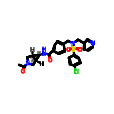 CC(=O)N1C[C@@H]2[C@H](C1)[C@H]2NC(=O)c1ccc(CN(Cc2cccnc2)S(=O)(=O)c2ccc(Cl)cc2)cc1